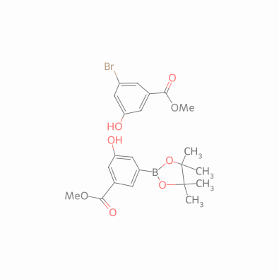 COC(=O)c1cc(O)cc(B2OC(C)(C)C(C)(C)O2)c1.COC(=O)c1cc(O)cc(Br)c1